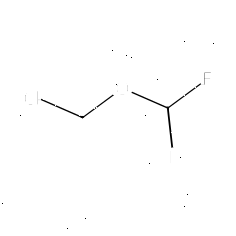 FC(F)OCCl